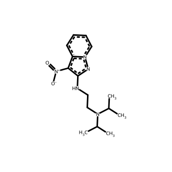 CC(C)N(CCNc1nn2ccccc2c1[N+](=O)[O-])C(C)C